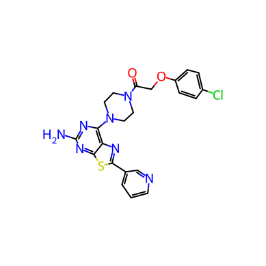 Nc1nc(N2CCN(C(=O)COc3ccc(Cl)cc3)CC2)c2nc(-c3cccnc3)sc2n1